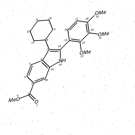 COC(=O)c1ccc2c(C3CCCCC3)c(-c3ccc(OC)c(OC)c3OC)[nH]c2c1